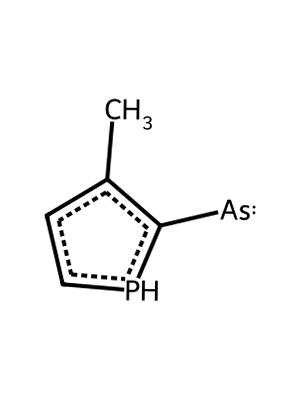 Cc1cc[pH]c1[As]